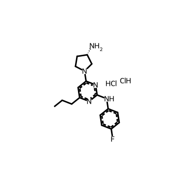 CCCc1cc(N2CC[C@H](N)C2)nc(Nc2ccc(F)cc2)n1.Cl.Cl